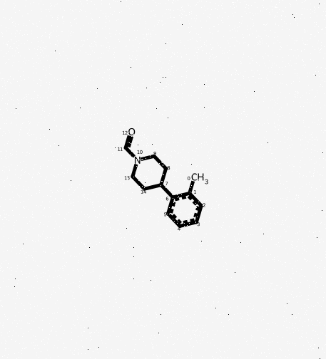 Cc1ccccc1C1CCN(C=O)CC1